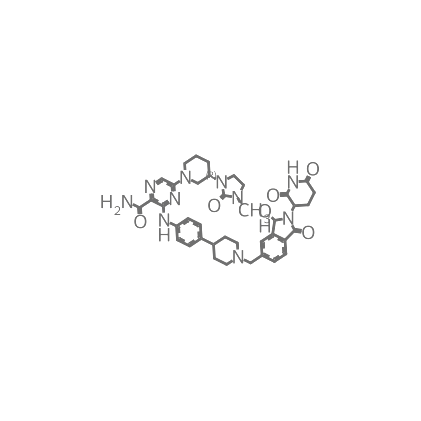 CN1CCN([C@@H]2CCCN(c3cnc(C(N)=O)c(Nc4ccc(C5CCN(Cc6ccc7c(c6)C(O)N(C6CCC(=O)NC6=O)C7=O)CC5)cc4)n3)C2)C1=O